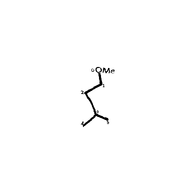 [CH2]OCCC(C)C